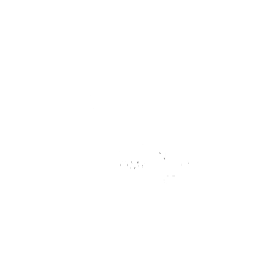 COc1ccc(-c2ccccc2C)cc1C1CCN(C(=O)C(F)(F)F)C1